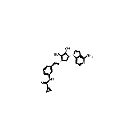 Nc1ncnc2c1ccn2[C@@H]1C[C@H](CCc2cccc(NC(=O)C3CC3)c2)[C@@H](O)[C@H]1O